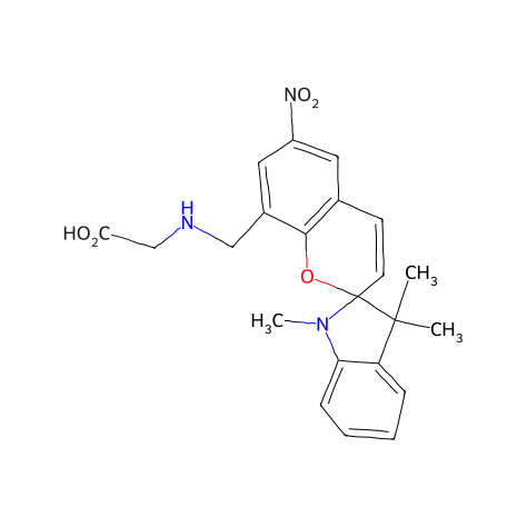 CN1c2ccccc2C(C)(C)C12C=Cc1cc([N+](=O)[O-])cc(CNCC(=O)O)c1O2